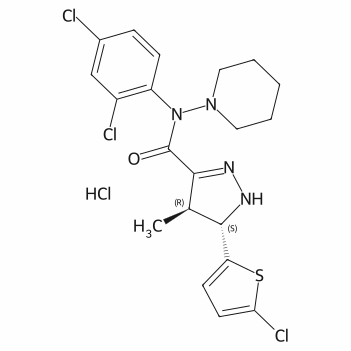 C[C@H]1C(C(=O)N(c2ccc(Cl)cc2Cl)N2CCCCC2)=NN[C@@H]1c1ccc(Cl)s1.Cl